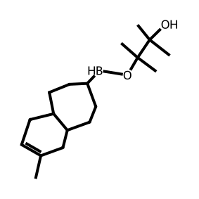 CC1=CCC2CCC(BOC(C)(C)C(C)(C)O)CCC2C1